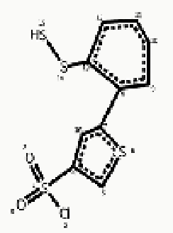 O=S(=O)(Cl)c1csc(-c2ccccc2SS)c1